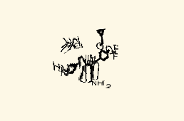 CC(N)c1oc(-c2ccc(OC(F)F)c(OCC3CC3)c2)nc1C(=O)Nc1cn[nH]c1.Cl.Cl